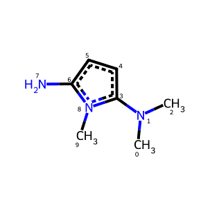 CN(C)c1ccc(N)n1C